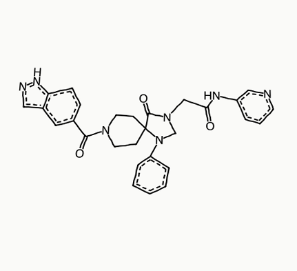 O=C(CN1CN(c2ccccc2)C2(CCN(C(=O)c3ccc4[nH]ncc4c3)CC2)C1=O)Nc1cccnc1